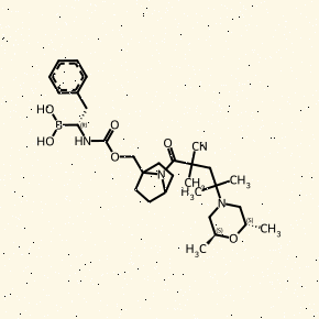 C[C@H]1CN(C(C)(C)CC(C)(C#N)C(=O)N2C3CCC2(COC(=O)N[C@@H](Cc2ccccc2)B(O)O)CC3)C[C@H](C)O1